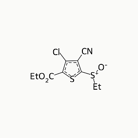 CCOC(=O)c1sc([S+]([O-])CC)c(C#N)c1Cl